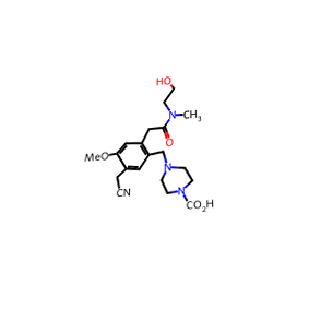 COc1cc(CC(=O)N(C)CCO)c(CN2CCN(C(=O)O)CC2)cc1CC#N